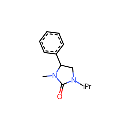 CC(C)N1CC(c2ccccc2)N(C)C1=O